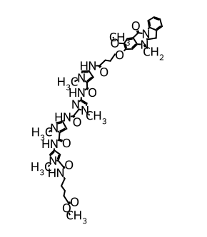 C=Nc1cc(OCCCC(=O)Nc2cc(C(=O)Nc3cn(C)c(C(=O)Nc4cc(C(=O)Nc5cc(C(=O)NCCCCC(=O)OC)n(C)c5)n(C)c4)n3)n(C)c2)c(OC)cc1C(=O)N1CCc2ccccc21